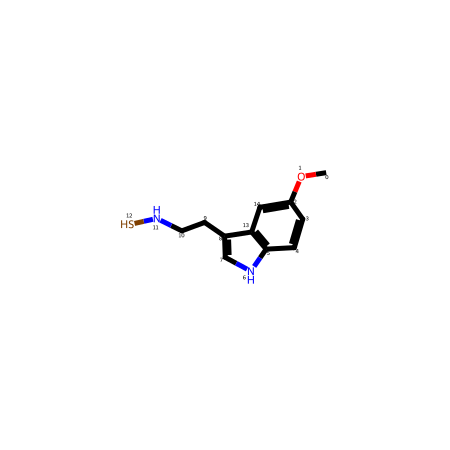 COc1ccc2[nH]cc(CCNS)c2c1